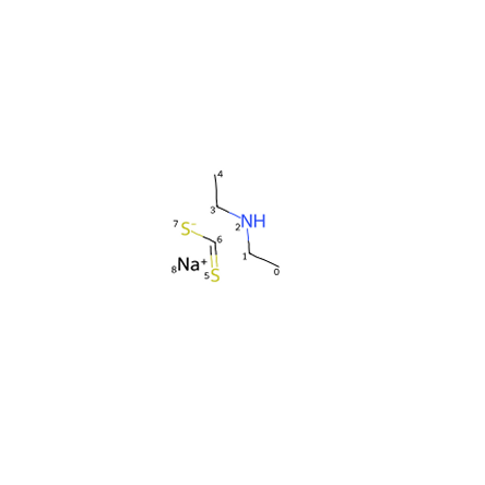 CCNCC.S=C[S-].[Na+]